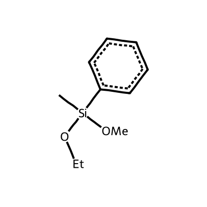 CCO[Si](C)(OC)c1ccccc1